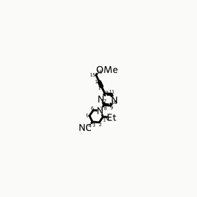 CCC1CC(C#N)CCN1c1cncc(C#CCOC)n1